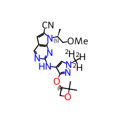 [2H]C([2H])([2H])n1cc(Nc2ncc3cc(C#N)n([C@@H](C)COC)c3n2)c(O[C@@H]2COC2(C)C)n1